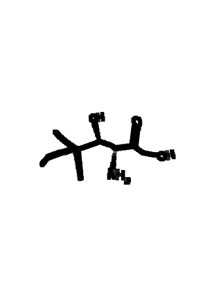 CC(C)(C)[C@@H](O)[C@@H](N)C(=O)O